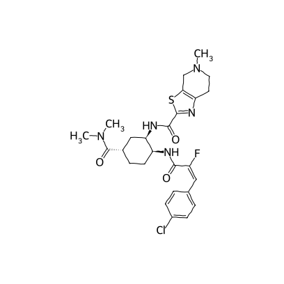 CN1CCc2nc(C(=O)N[C@@H]3C[C@@H](C(=O)N(C)C)CC[C@@H]3NC(=O)/C(F)=C\c3ccc(Cl)cc3)sc2C1